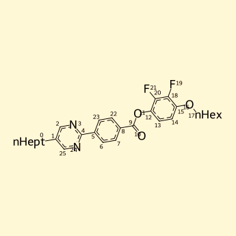 CCCCCCCc1cnc(-c2ccc(C(=O)Oc3ccc(OCCCCCC)c(F)c3F)cc2)nc1